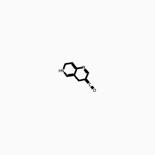 O=C=C1[C]=NC2=CCNC=C2C1